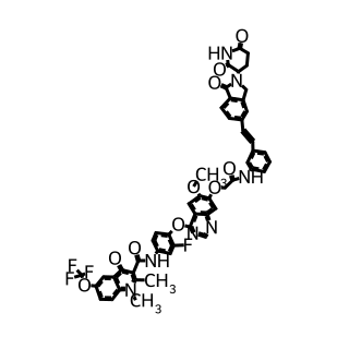 COc1cc2c(Oc3ccc(NC(=O)c4c(C)n(C)c5ccc(OC(F)(F)F)cc5c4=O)cc3F)ncnc2cc1OCC(=O)Nc1cccc(C#Cc2ccc3c(c2)CN(C2CCC(=O)NC2=O)C3=O)c1